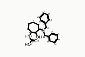 O=C(O)NC1CCCCC(N(Cc2ccccc2)Cc2ccccc2)C1O